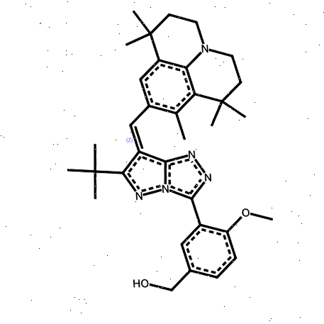 COc1ccc(CO)cc1-c1nnc2/c(=C\c3cc4c5c(c3C)C(C)(C)CCN5CCC4(C)C)c(C(C)(C)C)nn12